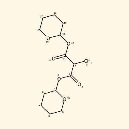 CC(C(=O)OC1CCCCO1)C(=O)OC1CCCCO1